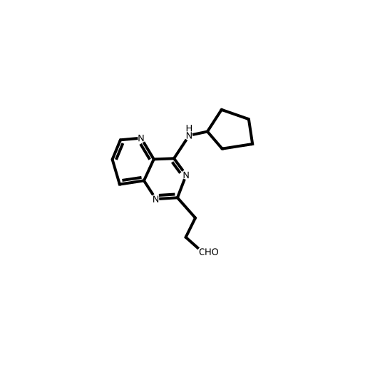 O=CCCc1nc(NC2CCCC2)c2ncccc2n1